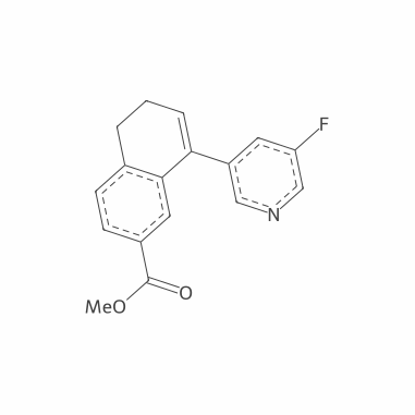 COC(=O)c1ccc2c(c1)C(c1cncc(F)c1)=CCC2